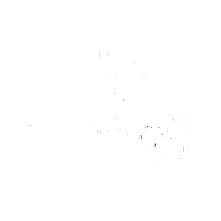 CCCCCCCCO[C@H]1OC(CO)[C@@H](O)[C@H](O)C1O[C@H]1OC(COC(C)=O)[C@@H](O)[C@H](O[C@H](COC(C)=O)OC(CO)[C@@H](O)[C@@H](C)O)C1OC(C)=O